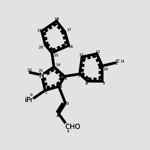 CC(C)c1c(C=CC=O)c(-c2ccc(F)cc2)c(-c2ccccc2)n1C